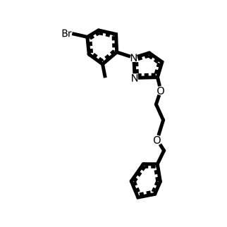 Cc1cc(Br)ccc1-n1ccc(OCCOCc2ccccc2)n1